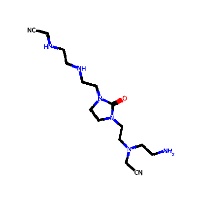 N#CCNCCNCCN1CCN(CCN(CC#N)CCN)C1=O